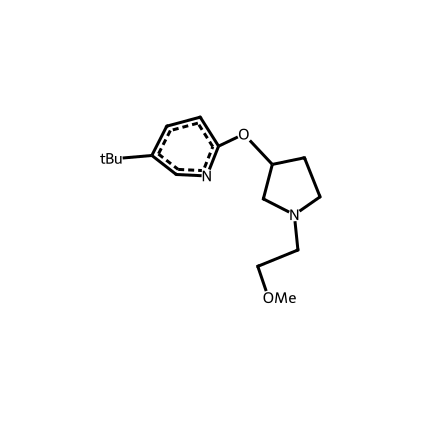 COCCN1CCC(Oc2ccc(C(C)(C)C)cn2)C1